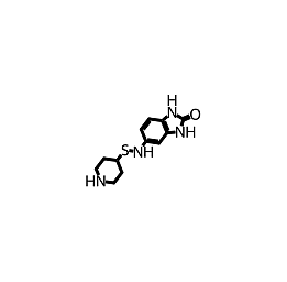 O=c1[nH]c2ccc(NSC3CCNCC3)cc2[nH]1